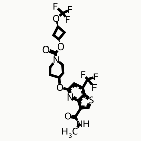 CNC(=O)c1csc2c(C(F)(F)F)cc(OC3CCN(C(=O)O[C@H]4C[C@H](OC(F)(F)F)C4)CC3)nc12